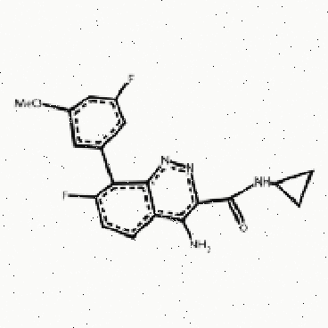 COc1cc(F)cc(-c2c(F)ccc3c(N)c(C(=O)NC4CC4)nnc23)c1